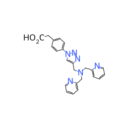 O=C(O)Cc1ccc(-n2cc(CN(Cc3ccccn3)Cc3ccccn3)nn2)cc1